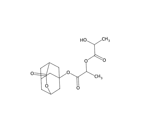 CC(O)C(=O)OC(C)C(=O)OC12CC3CC(C1)OC(=O)C(C3)C2